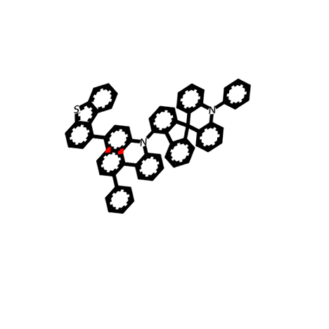 c1ccc(-c2ccccc2-c2ccccc2N(c2ccc(-c3cccc4sc5ccccc5c34)cc2)c2cccc3c2-c2ccccc2C32c3ccccc3N(c3ccccc3)c3ccccc32)cc1